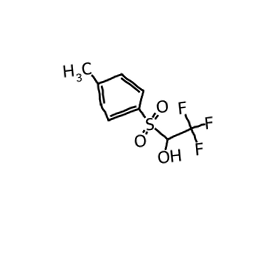 Cc1ccc(S(=O)(=O)C(O)C(F)(F)F)cc1